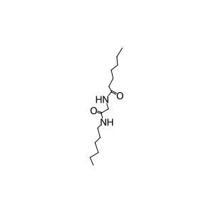 CCCCCCNC(=O)CNC(=O)CCCCCC